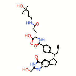 C#CCC(c1ccc(C(=O)N[C@@H](CCC(=O)NCCC[Si](C)(C)O)C(=O)O)cc1)[C@H]1CCc2cc3nc(CO)[nH]c(=O)c3cc21